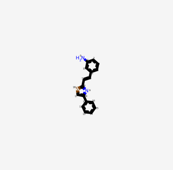 Nc1cccc(C=Cc2nc(-c3ccccc3)cs2)c1